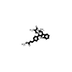 COC(=O)C=Cc1ccc(C2c3[nH]c4ccccc4c3CC(C)(C)N2CC(C)CF)cc1